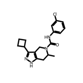 CC1Cc2[nH]nc(C3CCC3)c2CN1C(=O)Nc1cccc(Cl)c1